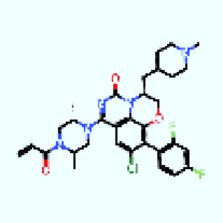 C=CC(=O)N1C[C@H](C)N(c2nc(=O)n3c4c(c(-c5ccc(F)cc5F)c(Cl)cc24)OC[C@@H]3CC2CCN(C)CC2)C[C@H]1C